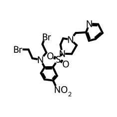 O=[N+]([O-])c1ccc(N(CCBr)CCBr)c(S(=O)(=O)N2CCN(Cc3ccccn3)CC2)c1